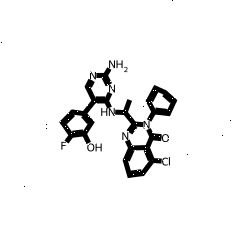 CC(Nc1nc(N)ncc1-c1ccc(F)c(O)c1)c1nc2cccc(Cl)c2c(=O)n1-c1ccccc1